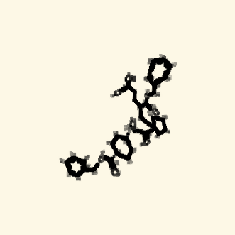 O=C(O)CCC(CC1(C(=O)N[C@H]2CC[C@@H](C(=O)OCc3ccccc3)CC2)CCCC1)C(=O)OCc1ccccc1